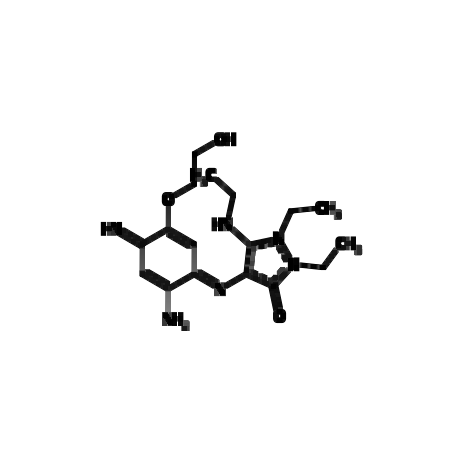 CCNc1c(N=C2C=C(OCCO)C(=N)C=C2N)c(=O)n(CC)n1CC